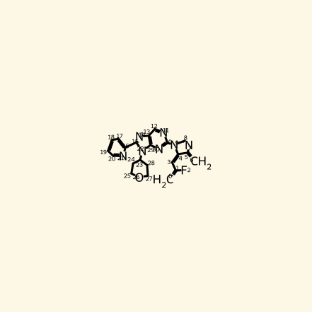 C=C(F)/C=c1\c(=C)ncn1-c1ncc2nc(-c3ccccn3)n(C3CCOCC3)c2n1